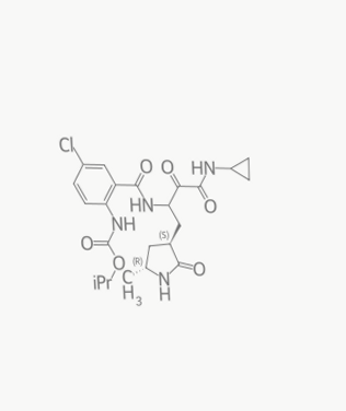 CC(C)OC(=O)Nc1ccc(Cl)cc1C(=O)NC(C[C@@H]1C[C@@H](C)NC1=O)C(=O)C(=O)NC1CC1